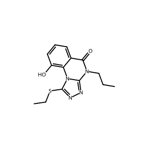 CCCn1c(=O)c2cccc(O)c2n2c(SCC)nnc12